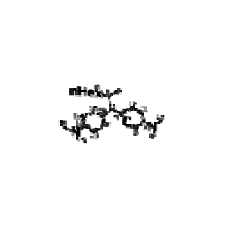 CCCCCCC(C)C(c1ccc(N(C)C)cc1)c1ccc(N(C)C)cc1